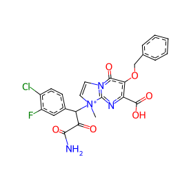 C[N+]1(C(C(=O)C(N)=O)c2ccc(Cl)c(F)c2)C=Cn2c1nc(C(=O)O)c(OCc1ccccc1)c2=O